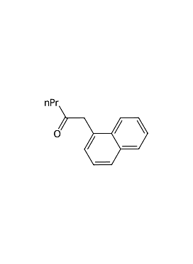 CCCC(=O)Cc1cccc2ccccc12